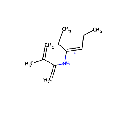 C=C(C)C(=C)N/C(=C/CC)CC